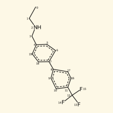 CCNCc1ccc(-c2ccc(C(F)(F)F)cc2)cc1